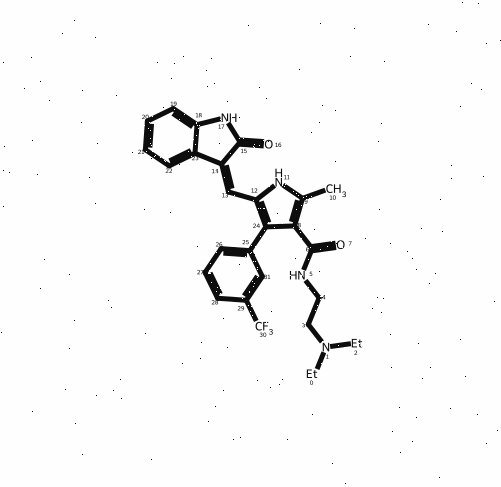 CCN(CC)CCNC(=O)c1c(C)[nH]c(C=C2C(=O)Nc3ccccc32)c1-c1cccc(C(F)(F)F)c1